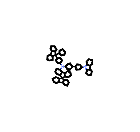 c1ccc(C2(c3ccc(N(c4ccc(-c5ccc(-n6c7ccccc7c7ccccc76)cc5)cc4)c4cccc5c4-c4ccccc4C54c5ccccc5-c5ccccc54)cc3)c3ccccc3-c3ccccc32)cc1